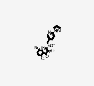 CC(=O)c1c([S+]([O-])Cc2ccc(-n3cccn3)nc2)[nH]c2c(Br)ccc(Cl)c2c1=O